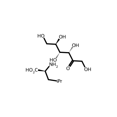 CC(C)C[C@H](N)C(=O)O.O=C(CO)[C@@H](O)[C@H](O)[C@H](O)CO